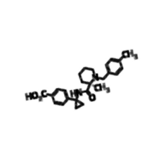 Cc1ccc(CN2CCCC[C@]2(C)C(=O)NC2(c3ccc(C(=O)O)cc3)CC2)cc1